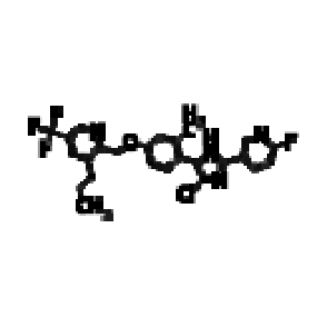 CCCc1cc(C(F)(F)F)cnc1COc1ccc(-c2[nH]c(-c3ccc(F)nc3)nc2Cl)c(C)c1